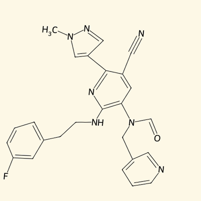 Cn1cc(-c2nc(NCCc3cccc(F)c3)c(N(C=O)Cc3cccnc3)cc2C#N)cn1